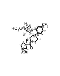 CC(C)(C)N1CC[C@](F)(C(=O)N2CCC(c3ccc(C(F)(F)F)cc3N3C[C@@H]4[C@H](C3)[C@H]4C(=O)O)CC2)C1